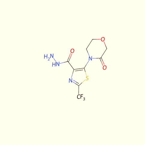 NNC(=O)c1nc(C(F)(F)F)sc1N1CCOCC1=O